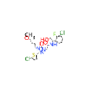 COCCCCn1c(-c2ccc(Cl)s2)nn(CC(=O)NC(CO)c2cccc(Cl)c2F)c1=O